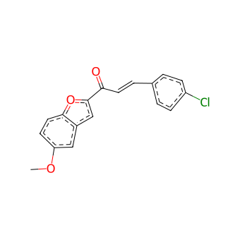 COc1ccc2oc(C(=O)C=Cc3ccc(Cl)cc3)cc2c1